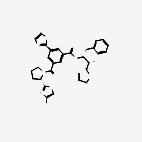 Cc1coc([C@H]2CCCN2C(=O)c2cc(C(=O)N[C@@H](Cc3ccccc3)[C@@H](O)[C@H]3CCCN3)cc(-c3ncco3)c2)n1